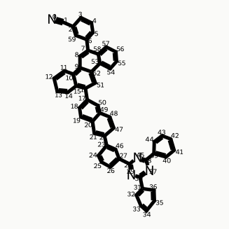 N#Cc1cccc(-c2cc3c4ccccc4c(-c4ccc5cc(-c6cccc(-c7nc(-c8ccccc8)nc(-c8ccccc8)n7)c6)ccc5c4)cc3c3ccccc23)c1